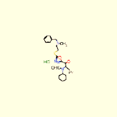 CC(C)CC(C(=O)c1nnc(SCCN(C)Cc2ccccc2)o1)N(C=O)C1CCCCC1.Cl